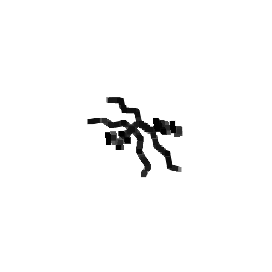 CCCCC(N)=C(CCCC)C(N)(CCCC)CCCC